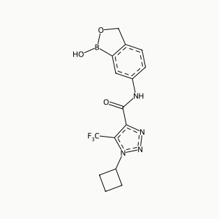 O=C(Nc1ccc2c(c1)B(O)OC2)c1nnn(C2CCC2)c1C(F)(F)F